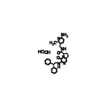 Cc1nc(N)ccc1CNC(=O)C1CCc2cnc(NCC(c3ccccc3)c3ccccc3)c(=O)n21.Cl.Cl